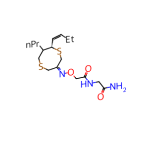 CC/C=C\[C@H]1SC/C(=N\OCC(=O)NCC(N)=O)CSCC1CCC